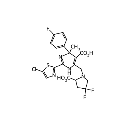 CC1(c2ccc(F)cc2)N=C(c2ncc(Cl)s2)NC(CN2CC(F)(F)CC2C(=O)O)=C1C(=O)O